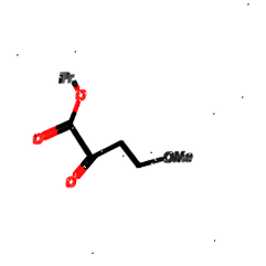 COCCC(=O)C(=O)OC(C)C